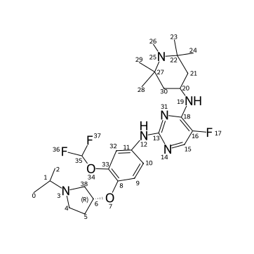 CC(C)N1CC[C@@H](Oc2ccc(Nc3ncc(F)c(NC4CC(C)(C)N(C)C(C)(C)C4)n3)cc2OC(F)F)C1